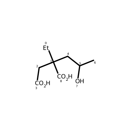 CCC(CC(=O)O)(CC(C)O)C(=O)O